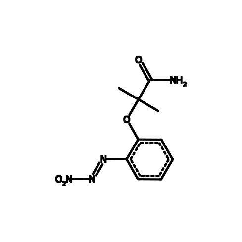 CC(C)(Oc1ccccc1N=N[N+](=O)[O-])C(N)=O